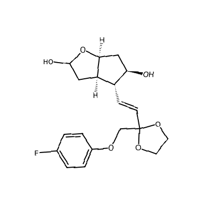 OC1C[C@@H]2[C@@H](/C=C/C3(COc4ccc(F)cc4)OCCO3)[C@H](O)C[C@@H]2O1